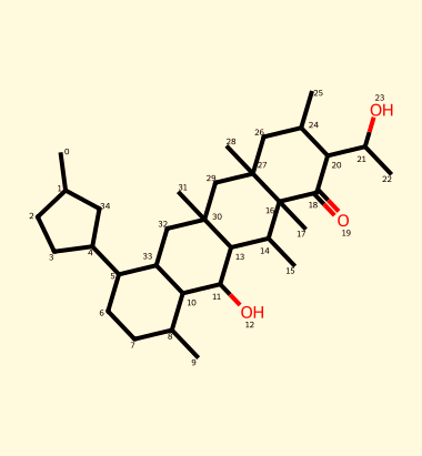 CC1CCC(C2CCC(C)C3C(O)C4C(C)C5(C)C(=O)C(C(C)O)C(C)CC5(C)CC4(C)CC23)C1